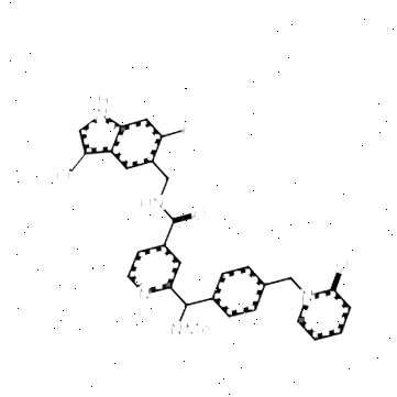 CNC(c1ccc(Cn2ccccc2=O)cc1)c1cc(C(=O)NCc2cc3c(Cl)c[nH]c3cc2F)ccn1